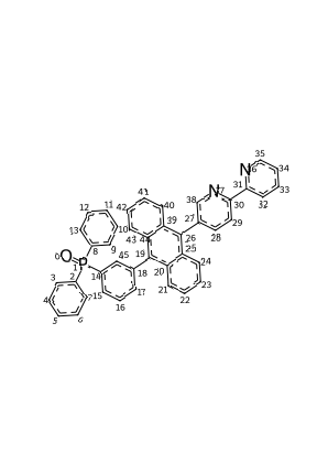 O=P(c1ccccc1)(c1ccccc1)c1cccc(-c2c3ccccc3c(-c3ccc(-c4ccccn4)nc3)c3ccccc23)c1